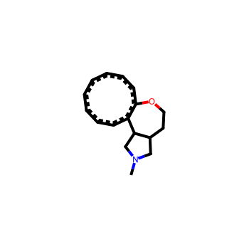 CN1CC2CCOc3ccccccccc3C2C1